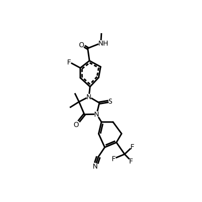 CNC(=O)c1ccc(N2C(=S)N(C3=CC(C#N)=C(C(F)(F)F)CC3)C(=O)C2(C)C)cc1F